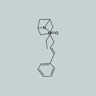 CCC(=O)N1C2CC1CN(CC=Cc1ccccc1)C2